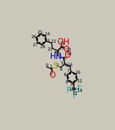 CC(=O)SC/C(=C\c1ccc(C(F)(F)F)cc1)C(=O)N[C@@H](CCc1ccccc1)C(=O)O